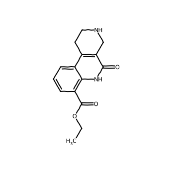 CCOC(=O)c1cccc2c3c(c(=O)[nH]c12)CNCC3